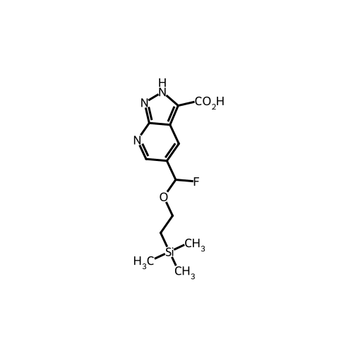 C[Si](C)(C)CCOC(F)c1cnc2n[nH]c(C(=O)O)c2c1